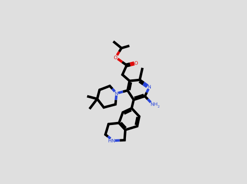 Cc1nc(N)c(-c2ccc3c(c2)CCNC3)c(N2CCC(C)(C)CC2)c1CC(=O)OC(C)C